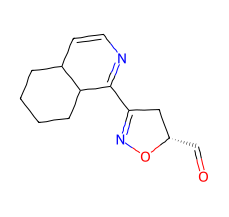 O=C[C@H]1CC(C2=NC=CC3CCCCC23)=NO1